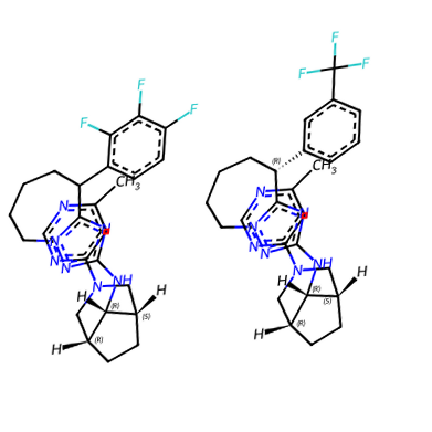 Cc1cc(N2C[C@H]3CC[C@@H](C2)[C@H]3Nc2nc3n(n2)CCCCC3c2ccc(F)c(F)c2F)ncn1.Cc1cc(N2C[C@H]3CC[C@@H](C2)[C@H]3Nc2nc3n(n2)CCCC[C@@H]3c2cccc(C(F)(F)F)c2)ncn1